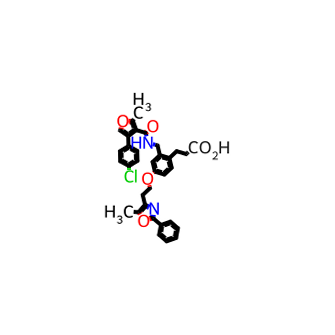 Cc1oc(-c2ccccc2)nc1CCOc1ccc(CCC(=O)O)c(CNC(=O)c2c(-c3ccc(Cl)cc3)coc2C)c1